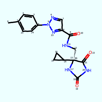 Cc1ccc(-n2ncc(C(=O)NC[C@@]3(C4CC4)NC(=O)NC3=O)n2)cc1